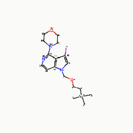 C[Si](C)(C)CCOCn1cc(I)c2c(N3CCOCC3)nccc21